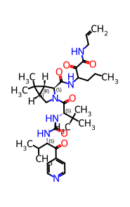 C=CCNC(=O)C(=O)C(CCC)NC(=O)[C@@H]1[C@@H]2[C@H](CN1C(=O)[C@@H](NC(=O)N[C@H](C(=O)c1ccncc1)C(C)C)C(C)(C)C)C2(C)C